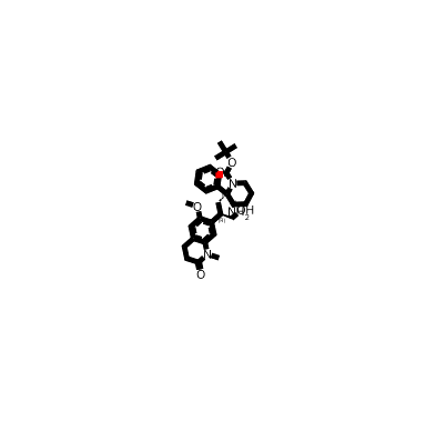 COc1cc2c(cc1[C@H](CO)C[C@@]1(c3ccccc3)[C@@H](N)CCCN1C(=O)OC(C)(C)C)N(C)C(=O)CC2